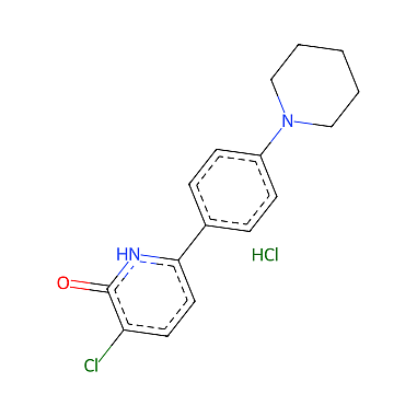 Cl.O=c1[nH]c(-c2ccc(N3CCCCC3)cc2)ccc1Cl